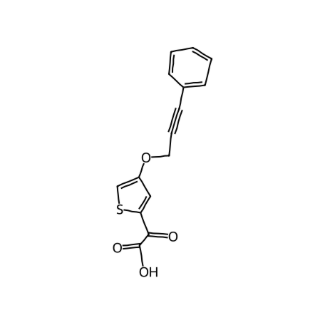 O=C(O)C(=O)c1cc(OCC#Cc2ccccc2)cs1